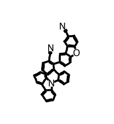 N#Cc1ccc2oc3ccc(-c4c(C#N)cccc4-c4ccccc4-n4c5ccccc5c5ccccc54)cc3c2c1